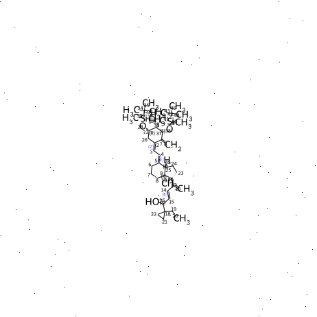 C=C1/C(=C\C=C2/CCC[C@]3(C)[C@@H]([C@H](C)/C=C/[C@H](O)C4(CC)CC4)CC[C@@H]23)C[C@@H](O[Si](C)(C)C(C)(C)C)C[C@@H]1O[Si](C)(C)C(C)(C)C